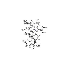 CCN(CC)CC(=O)C(/C=C/c1ccccc1)(CC(C)C)[C@@H](C(=O)NO)[C@@H](CC(C)C)C(=O)NN.Cc1ccc(S(=O)(=O)O)cc1